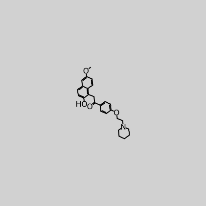 COc1ccc2c(CC(=O)c3ccc(OCCN4CCCCC4)cc3)c(O)ccc2c1